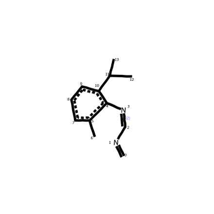 C=N/C=N\c1c(C)cccc1C(C)C